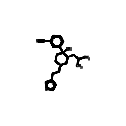 CN(C)C[C@H]1CN(CCc2ccsc2)CC[C@]1(O)c1cccc(C#N)c1